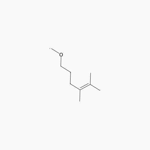 [CH2]OCCCC(C)=C(C)C